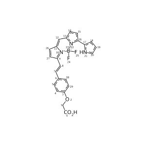 O=C(O)COc1ccc(/C=C/C2=[N+]3C(=Cc4ccc(-c5ccc[nH]5)n4[B-]3(F)F)C=C2)cc1